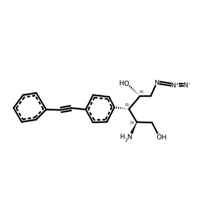 [N-]=[N+]=NC[C@@H](O)[C@@H](c1ccc(C#Cc2ccccc2)cc1)[C@H](N)CO